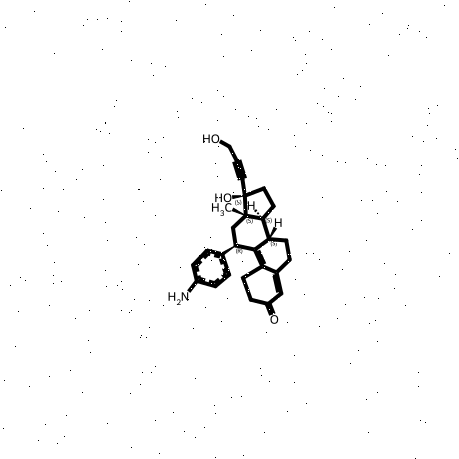 C[C@]12C[C@H](c3ccc(N)cc3)C3=C4CCC(=O)C=C4CC[C@H]3[C@@H]1CC[C@@]2(O)C#CCO